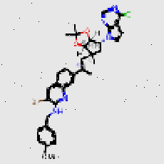 COc1ccc(CNc2nc3cc(/C(C)=C/[C@@]4(C)C[C@@H](n5ccc6c(Cl)ncnc65)[C@@H]5OC(C)(C)O[C@@H]54)ccc3cc2Br)cc1